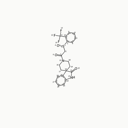 O=C(C[S+]([O-])c1ccccc1C(F)(F)F)N1CCC2(CC1)C(=O)Nc1ccccc12